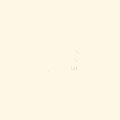 CCC(CC)Cn1ccc2cnc(Nc3cnn(CC(=O)OCC4OC(O)CC(O)C4O)c3)nc21